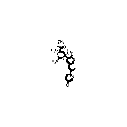 COC(=O)[C@@]1(C)C[C@@](C)(c2cc(/C=C(\F)c3ccc(Cl)cn3)cnc2F)N=C(N)S1